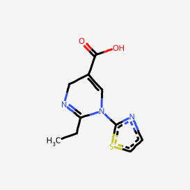 CCC1=NCC(C(=O)O)=CN1c1nccs1